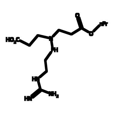 CCCOC(=O)CCN(CCC(=O)O)PCCNC(=N)N